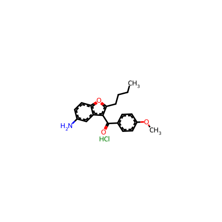 CCCCc1oc2ccc(N)cc2c1C(=O)c1ccc(OC)cc1.Cl